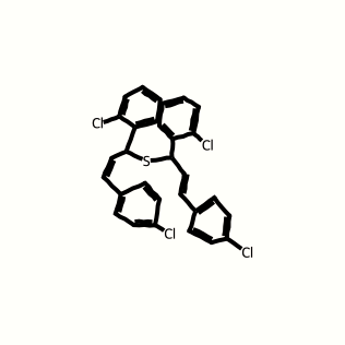 Clc1ccc(C=CC(SC(/C=C\c2ccc(Cl)cc2)c2ccccc2Cl)c2ccccc2Cl)cc1